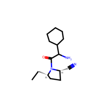 CC[C@H]1CC[C@@H](C#N)N1C(=O)C(N)C1CCCCC1